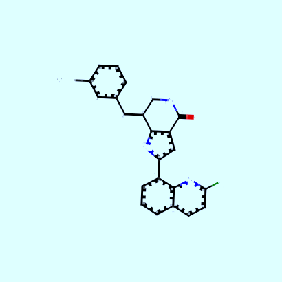 COc1cccc(CC2CNC(=O)c3cc(-c4cccc5ccc(Cl)nc45)[nH]c32)c1